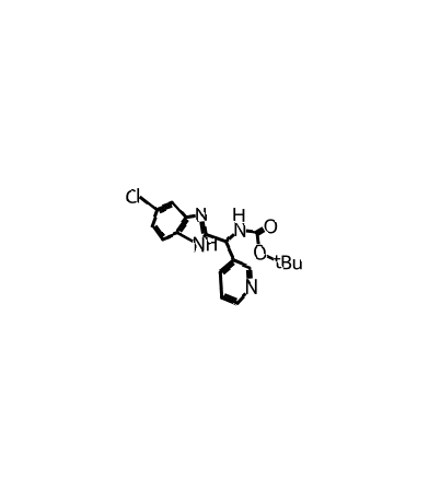 CC(C)(C)OC(=O)NC(c1cccnc1)c1nc2cc(Cl)ccc2[nH]1